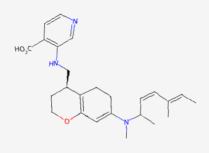 C/C=C(C)/C=C\C(C)N(C)C1=CC2=C(CC1)[C@H](CNc1cnccc1C(=O)O)CCO2